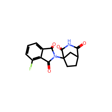 O=C1NC(=O)C2(N3C(=O)c4cccc(F)c4C3=O)CCC1C2